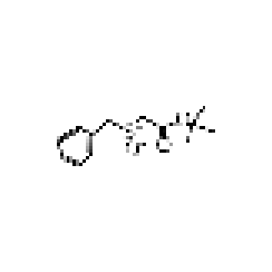 CC(C)(C)OC(=O)C[S+]([O-])Cc1ccccc1